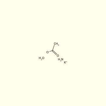 CC(=O)[O-].N.O.[K+]